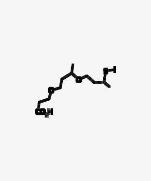 CC(CCOCCC(=O)O)OCCC(C)SI